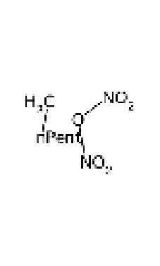 CCCCCC.O=[N+]([O-])O[N+](=O)[O-]